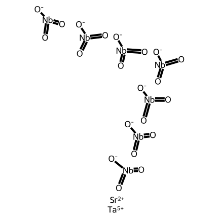 [O]=[Nb](=[O])[O-].[O]=[Nb](=[O])[O-].[O]=[Nb](=[O])[O-].[O]=[Nb](=[O])[O-].[O]=[Nb](=[O])[O-].[O]=[Nb](=[O])[O-].[O]=[Nb](=[O])[O-].[Sr+2].[Ta+5]